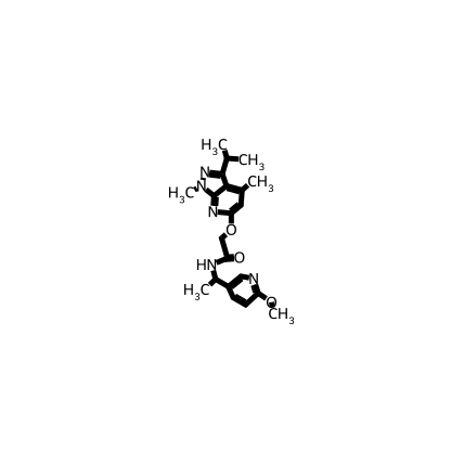 COc1ccc(C(C)NC(=O)COc2cc(C)c3c(C(C)C)nn(C)c3n2)cn1